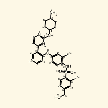 NC1CCC(Nc2nccc(-c3cnccc3Oc3ccc(NS(=O)(=O)c4ccc(CO)cc4F)c(F)c3)n2)CC1